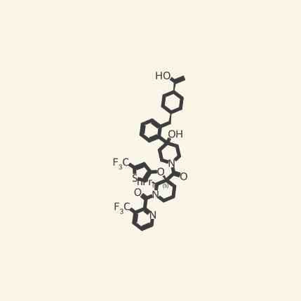 C=C(O)[C@H]1CC[C@@H](Cc2ccccc2C2(O)CCN(C(=O)[C@]3(Oc4csc(C(F)(F)F)c4)CCCN(C(=O)c4ncccc4C(F)(F)F)[C@@H]3CCC)CC2)CC1